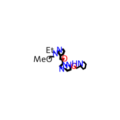 CCN(CCOC)c1nccc2oc(-c3cnc4ccc(OCC5CCCCN5)nn34)cc12